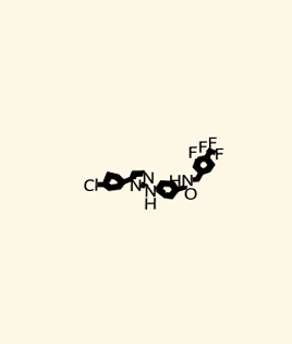 O=C(NCc1ccc(C(F)(F)F)c(F)c1)c1ccc(Nc2nccc(-c3ccc(Cl)cc3)n2)cc1